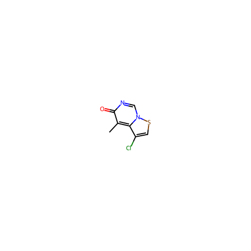 Cc1c(=O)ncn2scc(Cl)c12